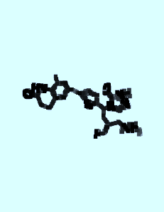 Cc1cc(-c2ccc(C(C/C(=C\F)CN)n3cn[nH]c3=O)s2)cc2c1NC(=O)CC2